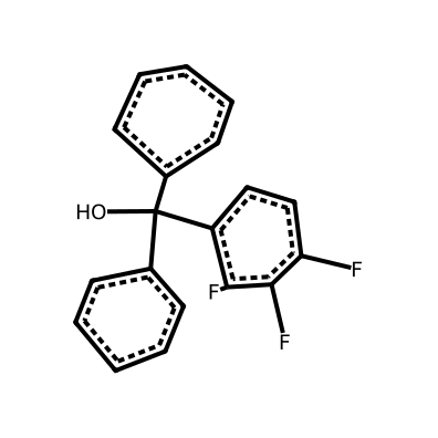 OC(c1ccccc1)(c1ccccc1)c1ccc(F)c(F)c1F